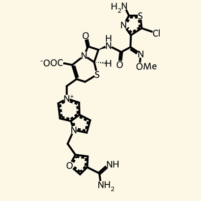 CO/N=C(\C(=O)N[C@@H]1C(=O)N2C(C(=O)[O-])=C(C[n+]3ccc4c(ccn4Cc4cc(C(=N)N)co4)c3)CS[C@H]12)c1nc(N)sc1Cl